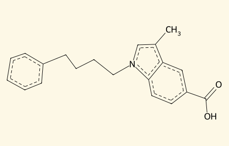 Cc1cn(CCCCc2ccccc2)c2ccc(C(=O)O)cc12